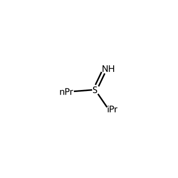 CCCS(=N)C(C)C